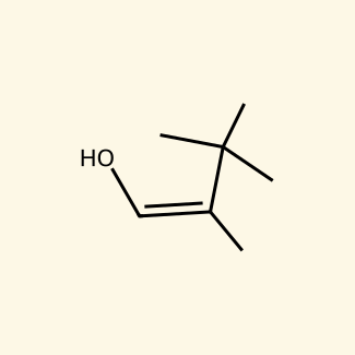 CC(=CO)C(C)(C)C